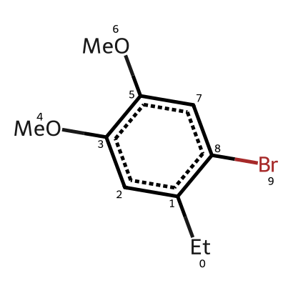 [CH2]Cc1cc(OC)c(OC)cc1Br